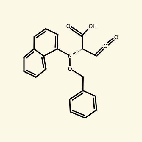 O=C=C[C@@H](C(=O)O)N(OCc1ccccc1)c1cccc2ccccc12